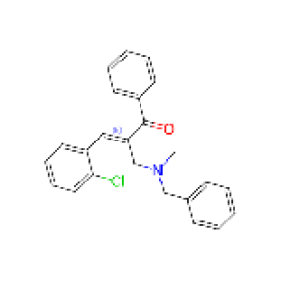 CN(C/C(=C\c1ccccc1Cl)C(=O)c1ccccc1)Cc1ccccc1